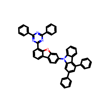 c1ccc(-c2cc(-c3ccccc3)c3c4ccccc4n(-c4ccc5c(c4)oc4c(-c6nc(-c7ccccc7)nc(-c7ccccc7)n6)cccc45)c3c2)cc1